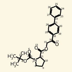 CC(C)(C)OC(=O)N1CCCC1C(=O)OCC(=O)c1ccc(-c2ccccc2)cc1